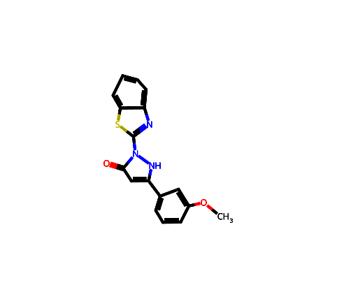 COc1cccc(-c2cc(=O)n(-c3nc4ccccc4s3)[nH]2)c1